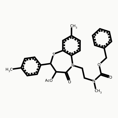 CC(=O)OC1C(=O)N(CCN(C)C(=O)OCc2ccccc2)c2ccc(C)cc2SC1c1ccc(C)cc1